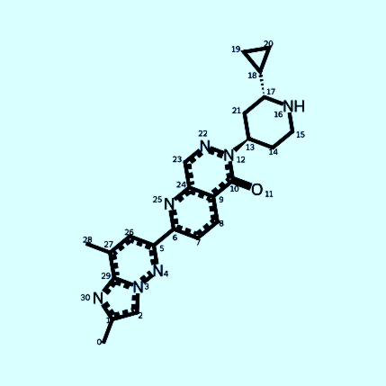 Cc1cn2nc(-c3ccc4c(=O)n([C@@H]5CCN[C@@H](C6CC6)C5)ncc4n3)cc(C)c2n1